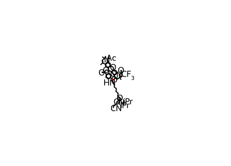 CC(=O)N1c2cc3c(cc2C(C)=CC1(C)C)C1(OC(=O)c2ccc(C(=O)NCCCCCCOP(OCCC#N)N(C(C)C)C(C)C)cc21)c1cc2c(cc1O3)N(C(=O)C(F)(F)F)C(C)(C)C=C2C